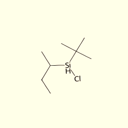 CCC(C)[SiH](Cl)C(C)(C)C